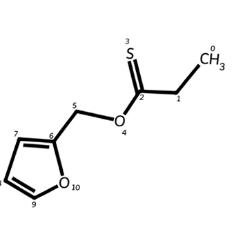 CCC(=S)OCc1ccco1